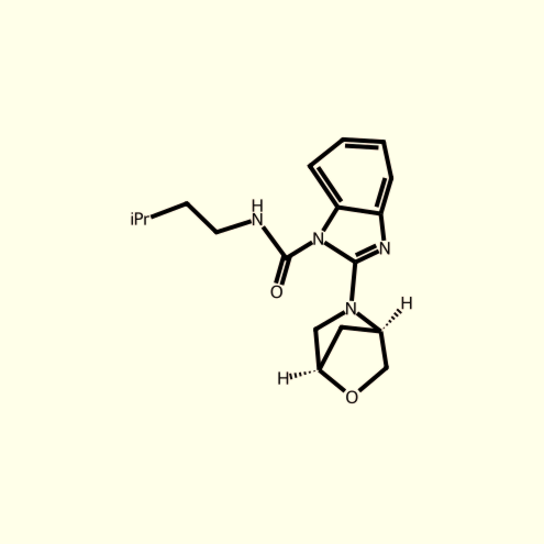 CC(C)CCNC(=O)n1c(N2C[C@H]3C[C@@H]2CO3)nc2ccccc21